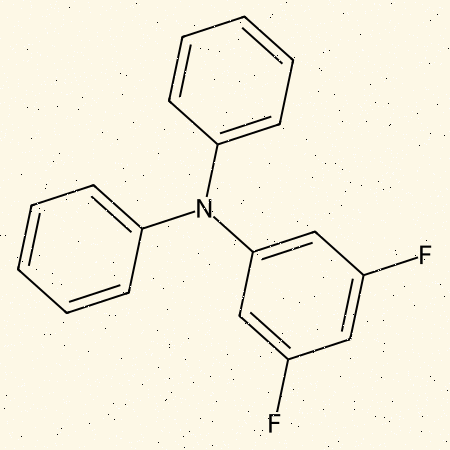 Fc1cc(F)cc(N(c2ccccc2)c2ccccc2)c1